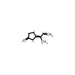 C=C/C(C)=C1\CCC(=O)C1